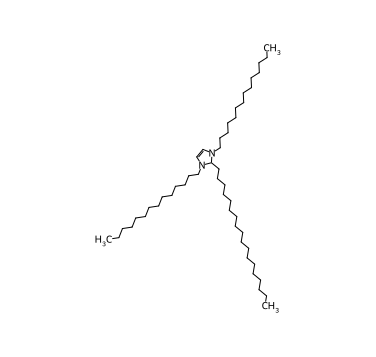 CCCCCCCCCCCCCCCCCCC1N(CCCCCCCCCCCCCC)C=CN1CCCCCCCCCCCCCC